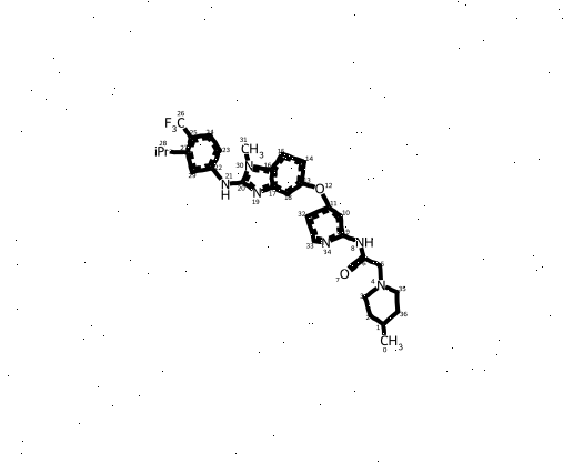 CC1CCN(CC(=O)Nc2cc(Oc3ccc4c(c3)nc(Nc3ccc(C(F)(F)F)c(C(C)C)c3)n4C)ccn2)CC1